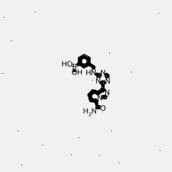 NC(=O)c1cccc2c(-c3ncnc(NCc4cccc(B(O)O)c4)n3)ncn12